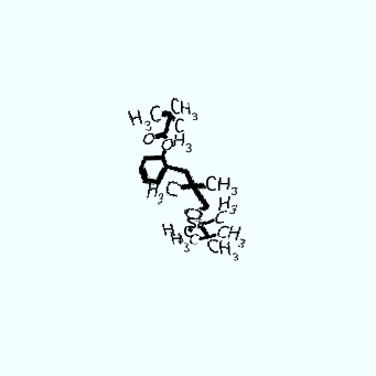 CC(C)(CO[Si](C)(C)C(C)(C)C)Cc1ccccc1OC(=O)C(C)(C)C